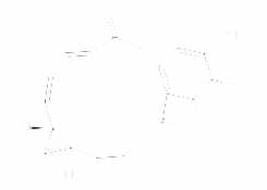 C[C@@H]1C[C@H]2C[C@@H]2/C=C\C=C\C(=O)Cc2cc(O)c(Cl)c(O)c2C(=O)O1